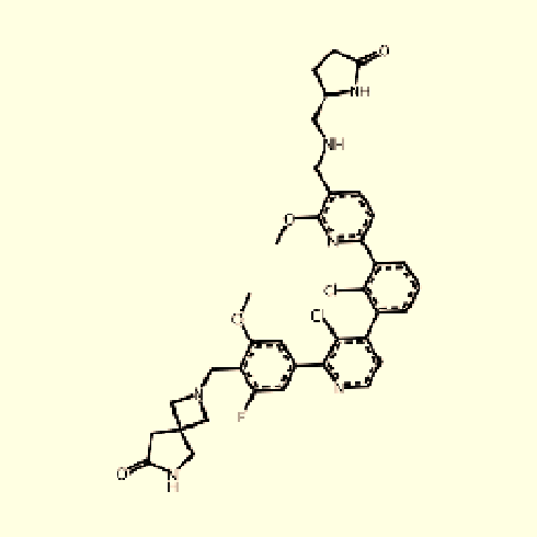 COc1cc(-c2nccc(-c3cccc(-c4ccc(CNC[C@H]5CCC(=O)N5)c(OC)n4)c3Cl)c2Cl)cc(F)c1CN1CC2(CNC(=O)C2)C1